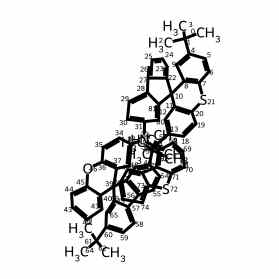 CC(C)(C)c1ccc2c(c1)C1(c3cc(C(C)(C)C)ccc3S2)c2ccccc2-c2ccc(N(c3ccc4c(c3)C3(c5ccccc5O4)c4cc(C(C)(C)C)ccc4-c4ccc(C(C)(C)C)cc43)c3cccc4sc5ccccc5c34)cc21